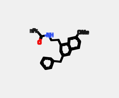 CCCC(=O)NCCc1cc(Cc2ccccc2)cc2ccc(OC)cc12